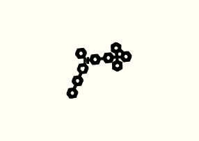 C1=CC(c2ccc(-c3ccccc3)cc2)CC=C1N(c1ccccc1)c1ccc(-c2ccc(C3(c4ccccc4)c4ccccc4-c4ccccc43)cc2)cc1